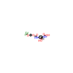 O=C(O)NC12CCC(NC(=O)CO[C@H]3C[C@@H](OC(F)(F)F)C3)(CC1)C[C@@H]2O